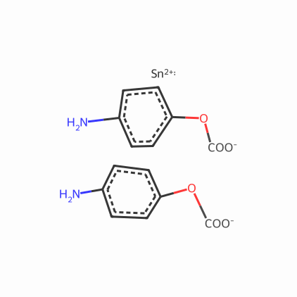 Nc1ccc(OC(=O)[O-])cc1.Nc1ccc(OC(=O)[O-])cc1.[Sn+2]